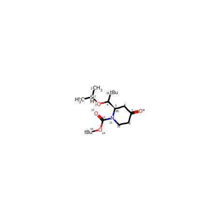 C[SiH](C)OC([C@H]1CC(=O)CCN1C(=O)OC(C)(C)C)C(C)(C)C